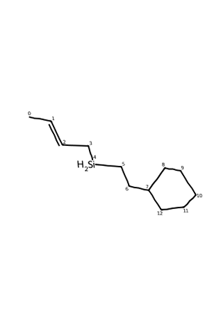 CC=CC[SiH2]CCC1CCCCC1